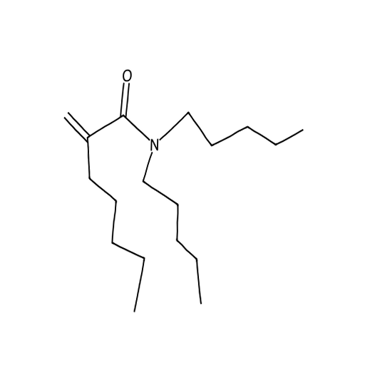 C=C(CCCCC)C(=O)N(CCCCC)CCCCC